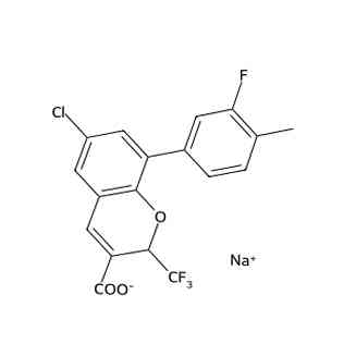 Cc1ccc(-c2cc(Cl)cc3c2OC(C(F)(F)F)C(C(=O)[O-])=C3)cc1F.[Na+]